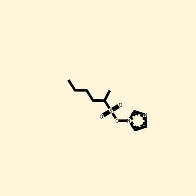 CCCCC(C)S(=O)(=O)On1ccnc1